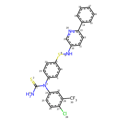 NC(=S)N(c1ccc(SNc2ccc(-c3ccccc3)nc2)cc1)c1ccc(Cl)c(C(F)(F)F)c1